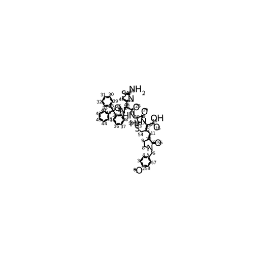 COc1ccc(CN2CCC(=CC3=C(C(=O)O)N4C(=O)[C@@H](NC(=O)C(=NOC(c5ccccc5)(c5ccccc5)c5ccccc5)c5csc(N)n5)[C@H]4SC3)C2=O)cc1